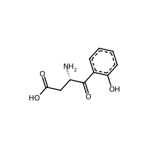 N[C@@H](CC(=O)O)C(=O)c1ccccc1O